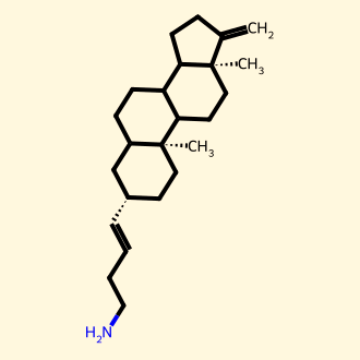 C=C1CCC2C3CCC4C[C@@H](/C=C/CCN)CC[C@]4(C)C3CC[C@]12C